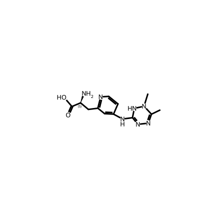 CC1=NN=C(Nc2ccnc(C[C@H](N)C(=O)O)c2)NN1C